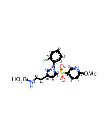 COc1ccc(S(=O)(=O)c2cc(CCNC(=O)O)nn2-c2ccccc2F)cn1